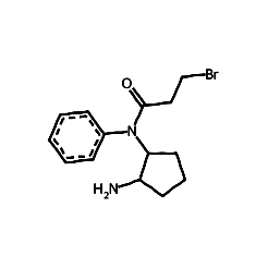 NC1CCCC1N(C(=O)CCBr)c1ccccc1